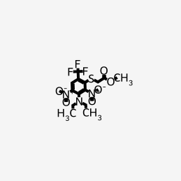 CCN(CC)c1c([N+](=O)[O-])cc(C(F)(F)F)c(SCC(=O)OC)c1[N+](=O)[O-]